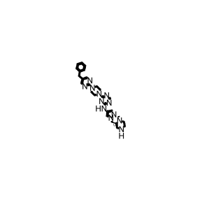 CN1CCNC[C@H]1Cn1cc(Nc2ncnc(N3CCN(c4ncc(Cc5ccccc5)cn4)CC3)n2)cn1